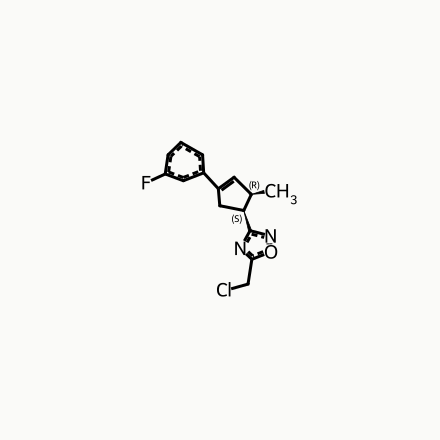 C[C@@H]1C=C(c2cccc(F)c2)C[C@@H]1c1noc(CCl)n1